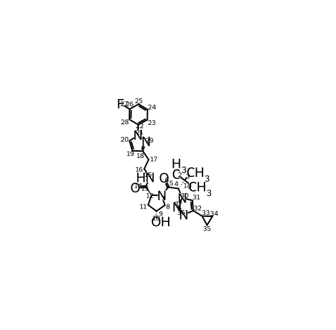 CC(C)(C)[C@@H](C(=O)N1C[C@H](O)C[C@H]1C(=O)NCCc1ccn(-c2cccc(F)c2)n1)n1cc(C2CC2)nn1